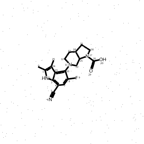 Cc1[nH]c2c(C#N)cc(F)c(N3CCC4CCN(C(=O)O)C4C3)c2c1C